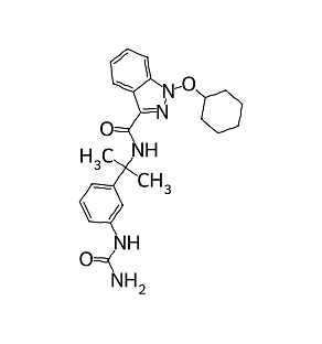 CC(C)(NC(=O)c1nn(OC2CCCCC2)c2ccccc12)c1cccc(NC(N)=O)c1